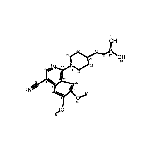 COc1cc2c(C#N)cnc(N3CCC(CCP(O)O)CC3)c2cc1OC